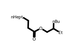 CCCCCCCCCC(=O)OCC(CC)CCCC